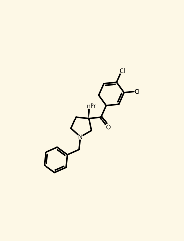 CCC[C@]1(C(=O)C2C=C(Cl)C(Cl)=CC2)CCN(Cc2ccccc2)C1